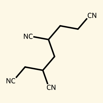 N#CCCC(C#N)CC(C#N)CC#N